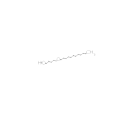 CCCCCCCCCCCCOCCC[CH]CO